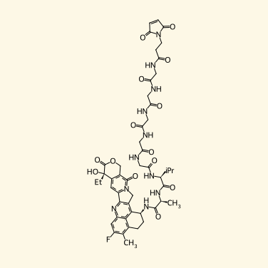 CC[C@@]1(O)C(=O)OCc2c1cc1n(c2=O)Cc2c-1nc1cc(F)c(C)c3c1c2[C@@H](NC(=O)[C@H](C)NC(=O)[C@@H](NC(=O)CNC(=O)CNC(=O)CNC(=O)CNC(=O)CNC(=O)CCN1C(=O)C=CC1=O)C(C)C)CC3